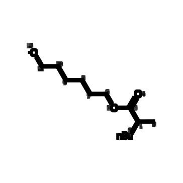 CCCCC(C)C(=O)OCCCCCC[O]